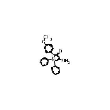 COc1ccc(-n2c(=O)c(N)c(-c3ccccc3)n2-c2ccccc2)cc1